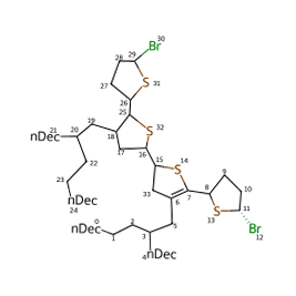 CCCCCCCCCCCCC(CCCCCCCCCC)CC1=C(C2CC[C@H](Br)S2)SC(C2CC(CC(CCCCCCCCCC)CCCCCCCCCCCC)C(C3CCC(Br)S3)S2)C1